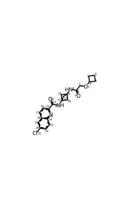 O=C(COC1CCC1)NC12CC(NC(=O)c3ccc4cc(Cl)ccc4n3)(C1)C2